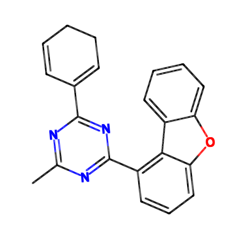 Cc1nc(C2=CCCC=C2)nc(-c2cccc3oc4ccccc4c23)n1